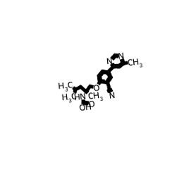 Cc1cc(-c2ccc(OCC(C)(CC(C)C)NC(=O)O)c(C#N)c2)ncn1